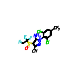 N#Cc1nn(-c2c(Cl)cc(C(F)(F)F)cc2Cl)c(N)c1[S+]([O-])C(F)(F)CF